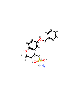 CC1(C)CC(CS(N)(=O)=O)c2cc(OCc3ccccc3)ccc2O1